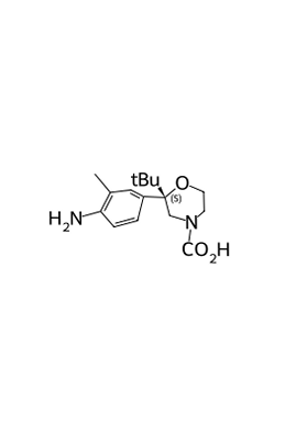 Cc1cc([C@@]2(C(C)(C)C)CN(C(=O)O)CCO2)ccc1N